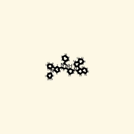 C1=C(c2ccc3c(c2)c2ccccc2n3-c2ccccc2)N=C(c2ccccc2)NC1c1cccc(-n2c3ccc4ccccc4c3c3c4ccccc4ccc32)c1